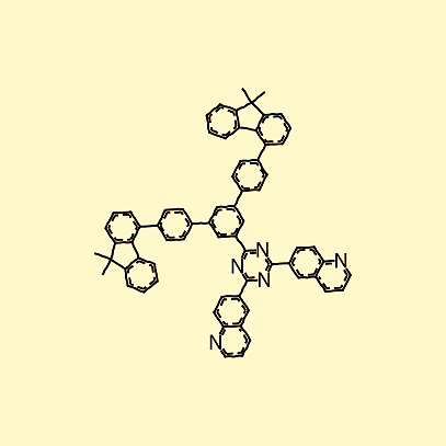 CC1(C)c2ccccc2-c2c(-c3ccc(-c4cc(-c5ccc(-c6cccc7c6-c6ccccc6C7(C)C)cc5)cc(-c5nc(-c6ccc7ncccc7c6)nc(-c6ccc7ncccc7c6)n5)c4)cc3)cccc21